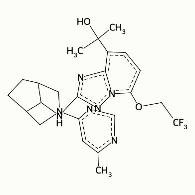 Cc1cc(N2CC3CCC(C2)C3Nc2nc3c(C(C)(C)O)ccc(OCC(F)(F)F)n3n2)ncn1